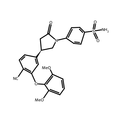 COc1cccc(OC)c1Oc1cc([C@H]2CC(=O)N(c3ccc(S(N)(=O)=O)cc3)C2)ccc1C#N